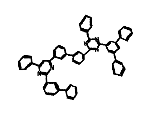 c1ccc(-c2cccc(-c3nc(-c4ccccc4)cc(-c4cccc(-c5cccc(-c6nc(-c7ccccc7)nc(-c7cc(-c8ccccc8)cc(-c8ccccc8)c7)n6)c5)c4)n3)c2)cc1